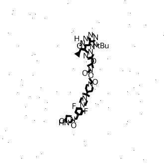 CC(C)(C1CCN(C(=O)COC(=O)N2CC(Oc3cnc(-c4c(-c5nn(C(C)(C)C)c6ncnc(N)c56)noc4C4CC4)nc3)C2)CC1)N1CCN(c2c(F)cc(CN3CCC(=O)NC3=O)cc2F)CC1